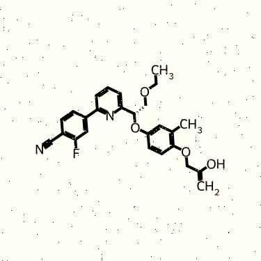 C=C(O)COc1ccc(O[C@@H](COCC)c2cccc(-c3ccc(C#N)c(F)c3)n2)cc1C